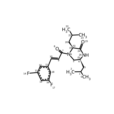 CC(C)C[C@H]1CN(C(=O)C=Cc2cc(F)cc(F)c2)[C@@H](CC(C)C)C(=O)N1